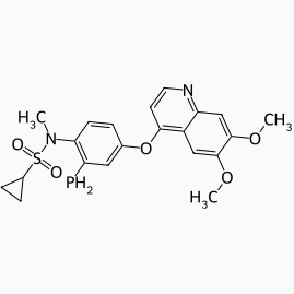 COc1cc2nccc(Oc3ccc(N(C)S(=O)(=O)C4CC4)c(P)c3)c2cc1OC